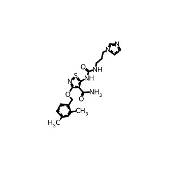 Cc1ccc(COc2nsc(NC(=O)NCCCn3ccnc3)c2C(N)=O)c(C)c1